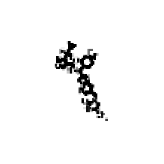 O=C(N[C@H](c1cn2ncc(CN3C[C@@H](C(F)(F)F)NC3=O)cc2n1)C1CCC(F)(F)CC1)c1conc1C(F)(F)C1CC1